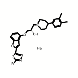 Br.Cc1ccc(C2CCN(C[C@H](O)COc3cccc4oc(-c5nnc(C(C)C)o5)cc34)CC2)cc1C